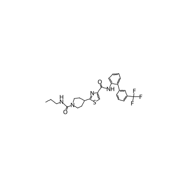 CCCNC(=O)N1CCC(c2nc(C(=O)Nc3ccccc3-c3cccc(C(F)(F)F)c3)cs2)CC1